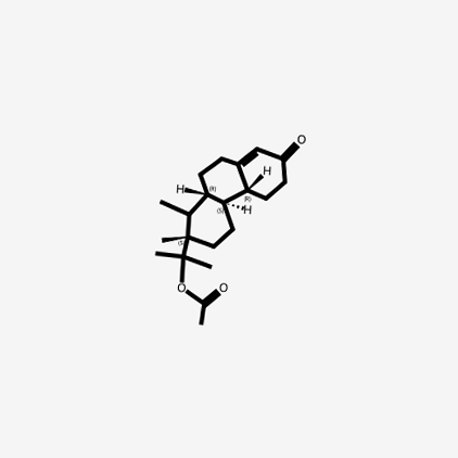 CC(=O)OC(C)(C)[C@@]1(C)CC[C@@H]2[C@H]3CCC(=O)C=C3CC[C@H]2C1C